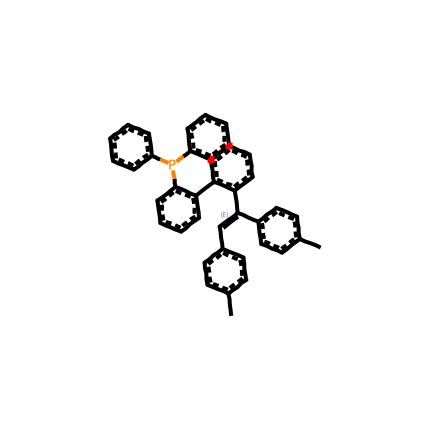 Cc1ccc(/C=C(\c2ccc(C)cc2)c2ccccc2-c2ccccc2P(c2ccccc2)c2ccccc2)cc1